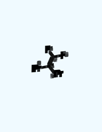 CC(C)C(=C(F)F)C(C)C